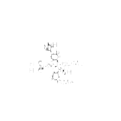 COCCN(C)C(C(=O)Nc1cc(F)c(-c2cn[nH]c2)cc1OCCN(C)C)c1cccc(OC)c1